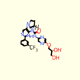 O=C(Nc1cnc(OC[C@H](O)CO)cn1)N1c2nc(-c3cccc(C(F)(F)F)c3)ncc2N2CC[C@H]1C2